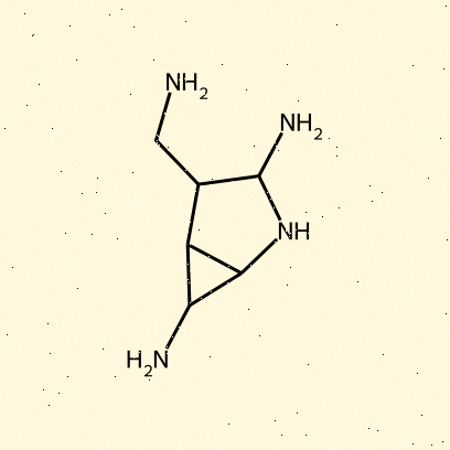 NCC1C(N)NC2C(N)C12